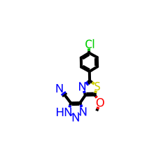 COc1sc(-c2ccc(Cl)cc2)nc1-c1nn[nH]c1C#N